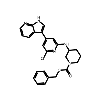 O=C(OCc1ccccc1)N1CCCC(Nc2cc(-c3c[nH]c4ncccc34)cc(Cl)n2)C1